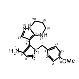 COc1ccc(Cn2ncc(N)c2-c2cnn3c2NCCC3)cc1